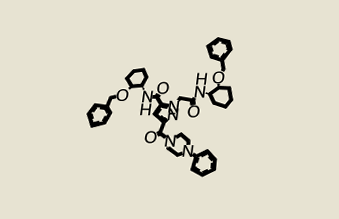 O=C(Cn1nc(C(=O)N2CCN(c3ccccc3)CC2)cc1C(=O)N[C@H]1CCCC[C@@H]1OCc1ccccc1)N[C@H]1CCCC[C@@H]1OCc1ccccc1